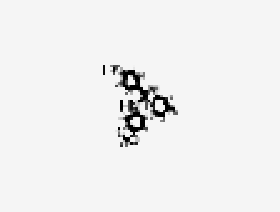 Cc1ccn2c(Nc3ccc4c(c3)OCO4)c(-c3ccc(O)cc3)nc2c1